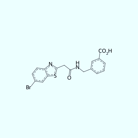 O=C(Cc1nc2ccc(Br)cc2s1)NCc1cccc(C(=O)O)c1